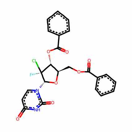 O=C(OC[C@H]1O[C@H](n2ccc(=O)[nH]c2=O)[C@@](F)(Cl)[C@@H]1OC(=O)c1ccccc1)c1ccccc1